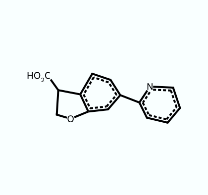 O=C(O)C1COc2cc(-c3ccccn3)ccc21